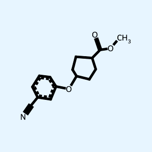 COC(=O)C1CCC(Oc2cccc(C#N)c2)CC1